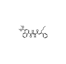 CCCC/C(=C\C(=O)NNC(=O)c1ccc(C(OC)OC)c2ccccc12)c1ccccc1